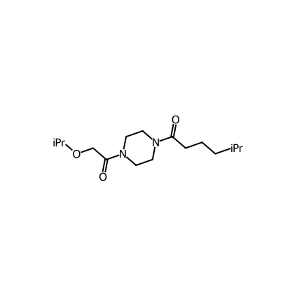 CC(C)CCCC(=O)N1CCN(C(=O)COC(C)C)CC1